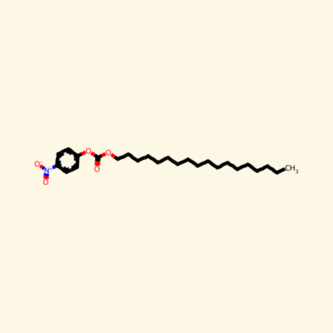 CCCCCCCCCCCCCCCCCCOC(=O)Oc1ccc([N+](=O)[O-])cc1